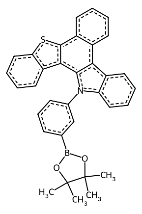 CC1(C)OB(c2cccc(-n3c4ccccc4c4c5ccccc5c5sc6ccccc6c5c43)c2)OC1(C)C